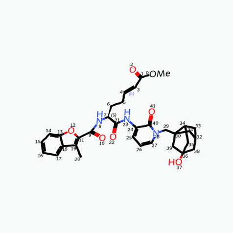 COC(=O)/C=C/CC[C@H](NC(=O)c1oc2ccccc2c1C)C(=O)Nc1cccn(CC23CC4CC2CC(O)(C4)C3)c1=O